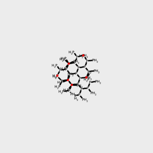 O=PP(P(P(P(P)P)P(P)P)P(P(P)P)P(P)P(P)P)P(P(P(P(P)P)P(P)P)P(P(P)P)P(P)P)P(P(P(P)P)P(P)P)P(P(P)P)P(P)P